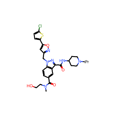 CC(C)N1CCC(NC(=O)c2nn(Cc3cc(-c4ccc(Cl)s4)on3)c3ccc(C(=O)N(C)CCO)cc23)CC1